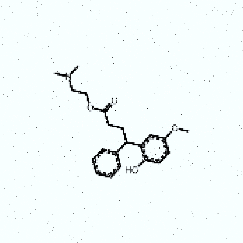 COc1ccc(O)c(C(CCC(=O)OCCN(C)C)c2ccccc2)c1